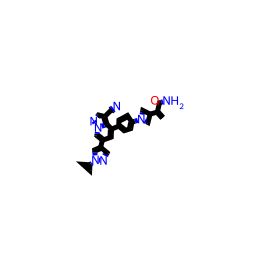 C=C(C(N)=O)C1CN(c2ccc(-c3cc(-c4cnn(C5CC5)c4)cn4ncc(C#N)c34)cc2)C1